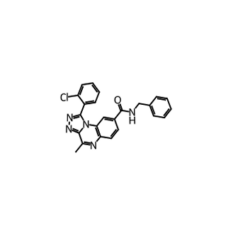 Cc1nc2ccc(C(=O)NCc3ccccc3)cc2n2c(-c3ccccc3Cl)nnc12